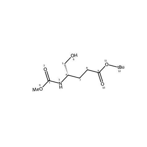 COC(=O)N[C@H](CO)CCC(=O)OC(C)(C)C